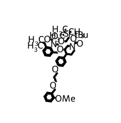 COc1ccccc1COCCCOc1ccc(C2CCN(C(=O)OC(C)(C)C)CC2OCc2cccc3c2N(COCC[Si](C)(C)C)C(=O)OC3(C)C)cc1